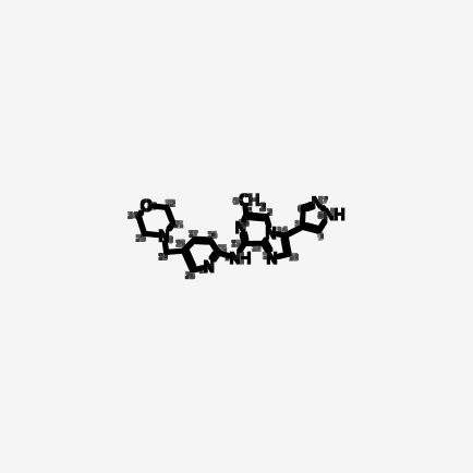 Cc1cn2c(-c3cn[nH]c3)cnc2c(Nc2ccc(CN3CCOCC3)cn2)n1